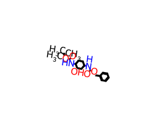 CC(C)(C)OC(=O)NC1CCC(NC(=O)OCc2ccccc2)CC1O